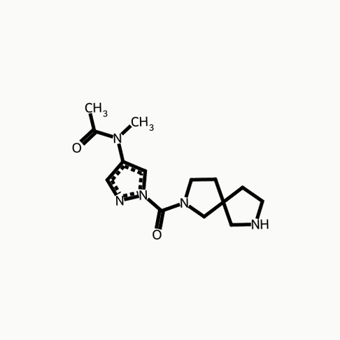 CC(=O)N(C)c1cnn(C(=O)N2CCC3(CCNC3)C2)c1